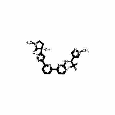 CN1CC[C@@](O)(c2cc(-c3cccc(-c4ccnc(N[C@H](c5cnn(C)c5)C(F)(F)F)n4)n3)no2)C1=O